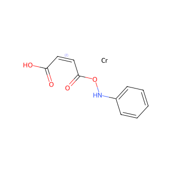 O=C(O)/C=C\C(=O)ONc1ccccc1.[Cr]